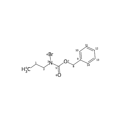 CCCN(Br)C(=O)OCc1ccccc1